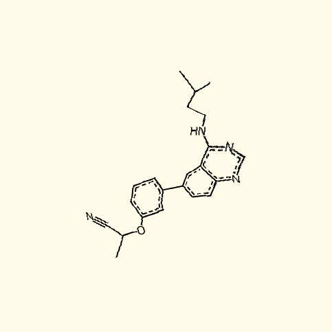 CC(C)CCNc1ncnc2ccc(-c3cccc(OC(C)C#N)c3)cc12